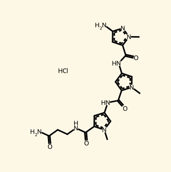 Cl.Cn1cc(NC(=O)c2cc(NC(=O)c3cc(N)nn3C)cn2C)cc1C(=O)NCCC(N)=O